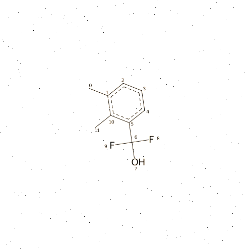 Cc1cccc(C(O)(F)F)c1C